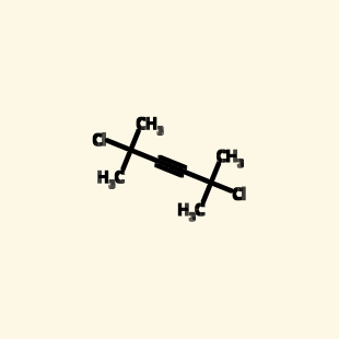 CC(C)(Cl)C#CC(C)(C)Cl